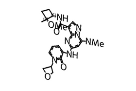 CNc1cc(Nc2cccn(C3COC3)c2=O)nc2c(C(=O)N[C@H]3CC[C@]3(C)OC)cnn12